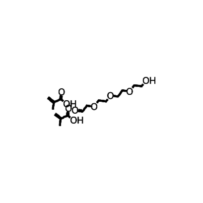 C=C(C)C(=O)O.C=C(C)C(=O)O.O=CCOCCOCCOCCO